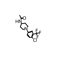 CC(=O)NC1CCN(c2ccc(Cl)c(C(F)(F)F)c2)CC1